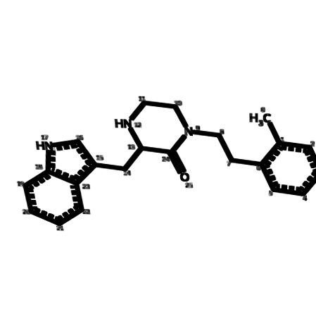 Cc1ccccc1CCN1CCNC(Cc2c[nH]c3ccccc23)C1=O